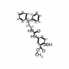 COC(=O)c1cc(NC(=O)NCCC(c2ccccc2)c2ccccc2)ccc1O